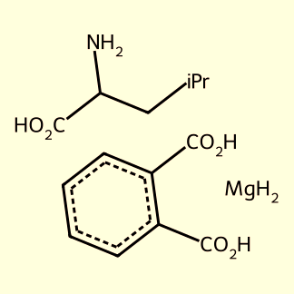 CC(C)CC(N)C(=O)O.O=C(O)c1ccccc1C(=O)O.[MgH2]